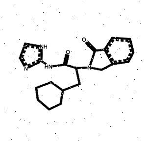 O=C(Nc1ncc[nH]1)C(CC1CCCCC1)N1Cc2ccccc2C1=O